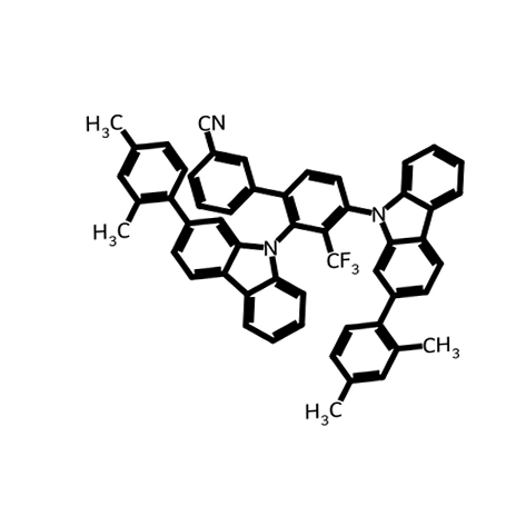 Cc1ccc(-c2ccc3c4ccccc4n(-c4ccc(-c5cccc(C#N)c5)c(-n5c6ccccc6c6ccc(-c7ccc(C)cc7C)cc65)c4C(F)(F)F)c3c2)c(C)c1